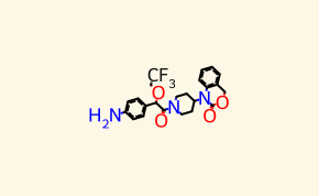 Nc1ccc(C(OCC(F)(F)F)C(=O)N2CCC(N3C(=O)OCc4ccccc43)CC2)cc1